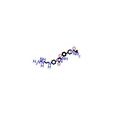 N=C(N)NCCCNC1CCC(n2cc3c(nc2=O)Nc2cc(C4CCN(C(=O)C5(N)CC5)CC4)ccc2O3)CC1